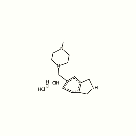 CN1CCN(Cc2ccc3c(c2)CNC3)CC1.Cl.Cl.Cl